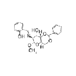 CO[C@H]1O[C@@H]2COC(c3ccccc3)O[C@H]2[C@@H](O)[C@@H]1N=Cc1ccccc1O